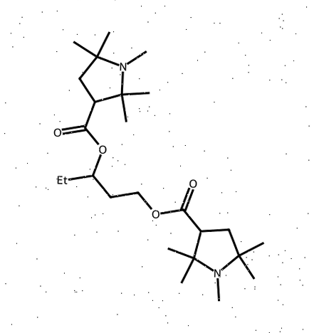 CCC(CCOC(=O)C1CC(C)(C)N(C)C1(C)C)OC(=O)C1CC(C)(C)N(C)C1(C)C